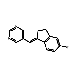 Fc1ccc2c(c1)CCC2=Cc1cncnc1